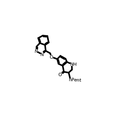 CCCCCC1CNc2ccc(OCc3nncc4ccccc34)cc2C1=O